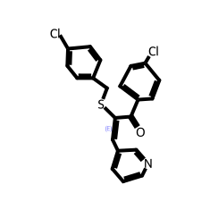 O=C(/C(=C\c1cccnc1)SCc1ccc(Cl)cc1)c1ccc(Cl)cc1